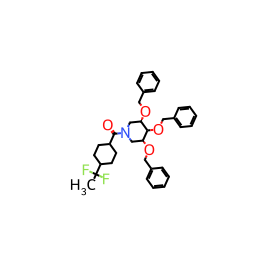 CC(F)(F)C1CCC(C(=O)N2C[C@H](OCc3ccccc3)C(OCc3ccccc3)[C@H](OCc3ccccc3)C2)CC1